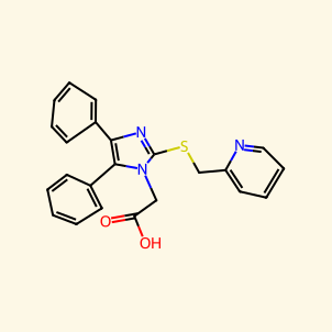 O=C(O)Cn1c(SCc2ccccn2)nc(-c2ccccc2)c1-c1ccccc1